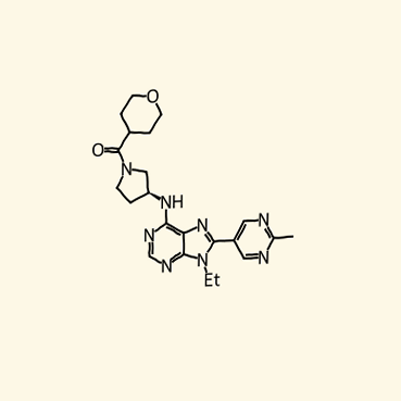 CCn1c(-c2cnc(C)nc2)nc2c(N[C@H]3CCN(C(=O)C4CCOCC4)C3)ncnc21